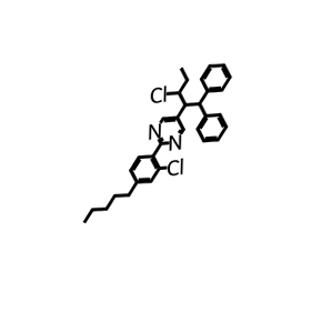 CCCCCc1ccc(-c2ncc(C(C(Cl)CC)C(c3ccccc3)c3ccccc3)cn2)c(Cl)c1